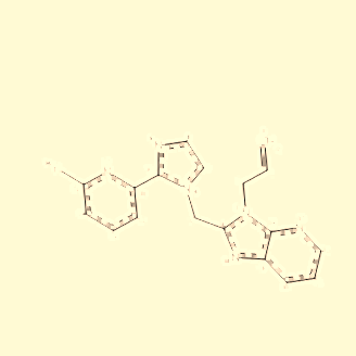 C=CCn1c(Cn2ccnc2-c2cccc(F)n2)nc2cccnc21